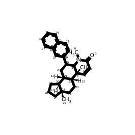 CN1C(=O)C=C[C@@]2(C)C1C(c1ccc3ccccc3c1)C[C@@H]1[C@H]2CC[C@]2(C)CCC[C@@H]12